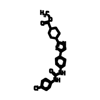 COC(=O)C1CCC(c2ncc(-c3ccc(NC(=O)Nc4ccc(Cl)cc4)cc3)s2)CC1